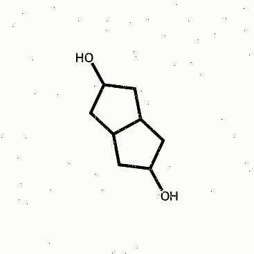 OC1CC2CC(O)CC2C1